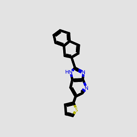 c1csc(-c2cnc3nc(-c4ccc5ccccc5c4)[nH]c3c2)c1